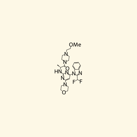 COCCN1CCN(C(=O)[C@H](C)Nc2nc(N3CCOCC3)cc(-n3c(C(F)F)nc4ccccc43)n2)CC1